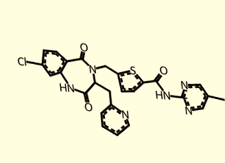 Cc1cnc(NC(=O)c2ccc(CN3C(=O)c4ccc(Cl)cc4NC(=O)C3Cc3ccccn3)s2)nc1